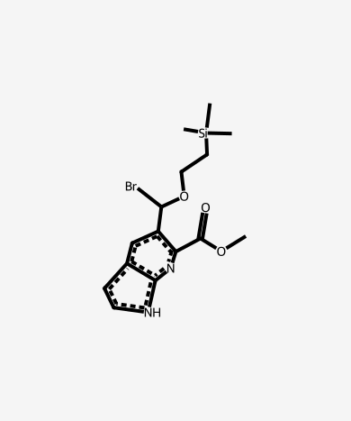 COC(=O)c1nc2[nH]ccc2cc1C(Br)OCC[Si](C)(C)C